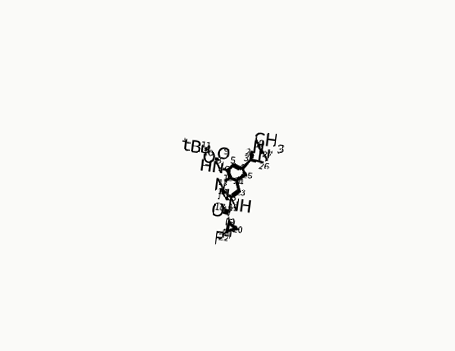 Cn1cc(-c2cc(NC(=O)OC(C)(C)C)c3nnc(NC(=O)[C@@H]4C[C@@H]4F)cc3c2)cn1